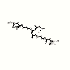 C=C(/C=C(\C=C(/C)CN(C)I)OCCCOC(=O)CC(CCCCCCCC)CCCCCCCC)OCCCOC(=O)CC(CCCCCCCC)CCCCCCCCC